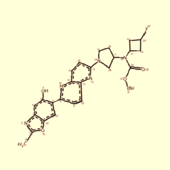 Cc1nc2cc(O)c(-c3ccc4nc(N5CCC(N(C(=O)OC(C)(C)C)C6CC(F)C6)C5)ccc4n3)cc2o1